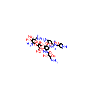 NC[C@@H]1O[C@H](O[C@H]2[C@@H](O)[C@H](O[C@@H]3[C@@H](O)[C@H](NC(=O)[C@@H](O)[C@@H](O)CN)C[C@H](N)[C@H]3O[C@H]3O[C@H](CNCC4(O)CCNCC4)CC[C@H]3N)O[C@@H]2CO)[C@H](N)[C@@H](O)[C@@H]1O